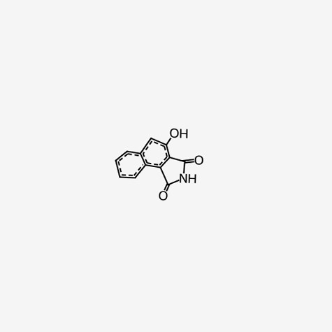 O=C1NC(=O)c2c1c(O)cc1ccccc21